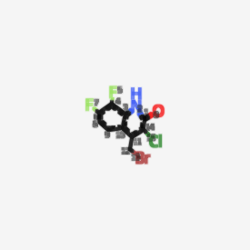 O=c1[nH]c2c(F)c(F)ccc2c(CBr)c1Cl